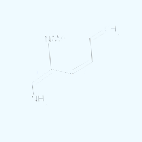 C=C/C=C\C(=C/N)NC